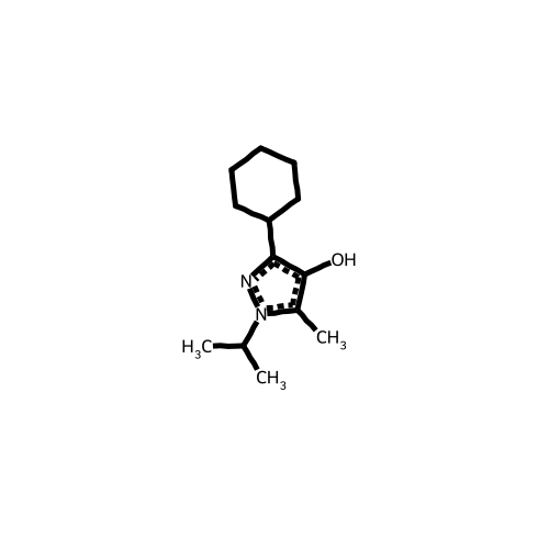 Cc1c(O)c(C2CCCCC2)nn1C(C)C